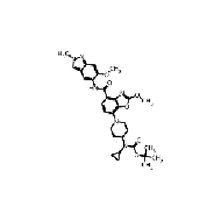 COc1nc2c(C(=O)Nc3cc4cn(C)nc4cc3OC)ccc(N3CCC(N(C(=O)OC(C)(C)C)C4CC4)CC3)c2o1